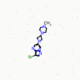 CN1CCN(C2CN(c3cnc4c(Br)cnn4c3)C2)CC1